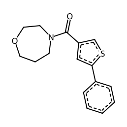 O=C(c1csc(-c2ccccc2)c1)N1CCCOCC1